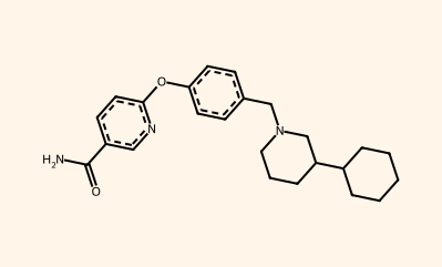 NC(=O)c1ccc(Oc2ccc(CN3CCCC(C4CCCCC4)C3)cc2)nc1